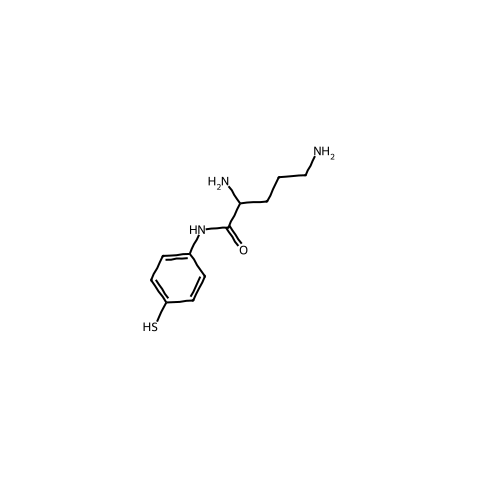 NCCCC(N)C(=O)Nc1ccc(S)cc1